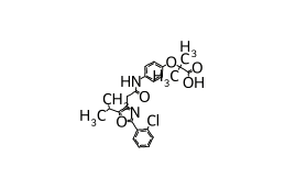 CC(C)c1oc(-c2ccccc2Cl)nc1CC(=O)Nc1ccc(OC(C)(C)C(=O)O)cc1